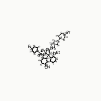 CCOc1ncccc1C1(NC(=O)N2CC3(C2)CN(C2CCN(C(C)C)CC2)C3)C(=O)N(S(=O)(=O)c2ccc(F)cc2)c2ccc(C#N)cc21